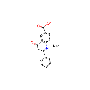 O=C([O-])c1ccc2c(c1)C(=O)CC(c1ccccc1)=N2.[Na+]